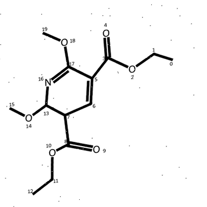 CCOC(=O)C1=CC(C(=O)OCC)C(OC)N=C1OC